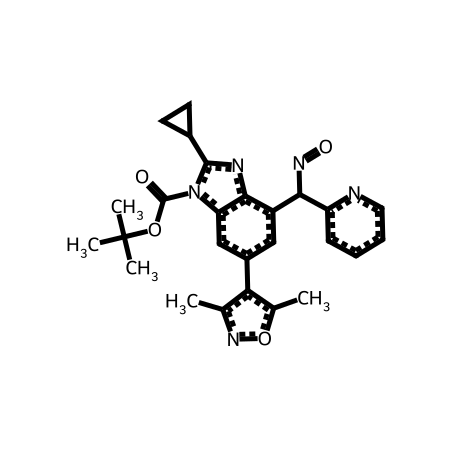 Cc1noc(C)c1-c1cc(C(N=O)c2ccccn2)c2nc(C3CC3)n(C(=O)OC(C)(C)C)c2c1